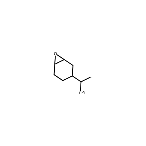 [CH2]C(CCC)C1CCC2OC2C1